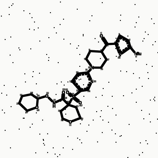 CCCCc1ccc(C(=O)C2CCN(c3ccc(S(=O)(=O)C4(C(=O)NOC5CCCCO5)CCOCC4)cn3)CC2)s1